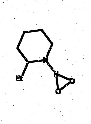 CCC1CCCCN1n1oo1